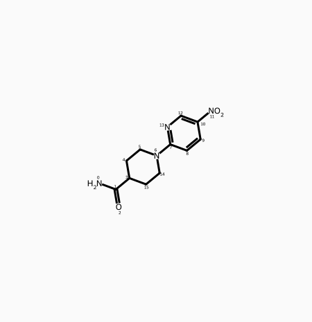 NC(=O)C1CCN(c2ccc([N+](=O)[O-])cn2)CC1